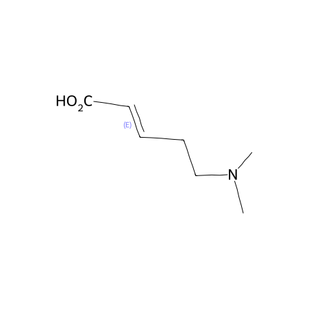 CN(C)CC/C=C/C(=O)O